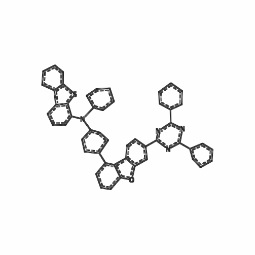 c1ccc(-c2nc(-c3ccccc3)nc(-c3ccc4c(c3)oc3cccc(-c5ccc(N(c6ccccc6)c6cccc7c6sc6ccccc67)cc5)c34)n2)cc1